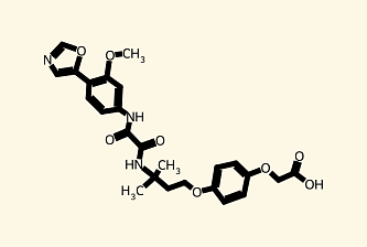 COc1cc(NC(=O)C(=O)NC(C)(C)CCOc2ccc(OCC(=O)O)cc2)ccc1-c1cnco1